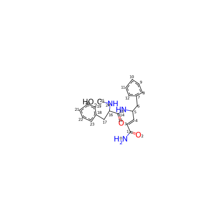 NC(=O)/C=C/C(Cc1ccccc1)NC(=O)C(Cc1ccccc1)NC(=O)O